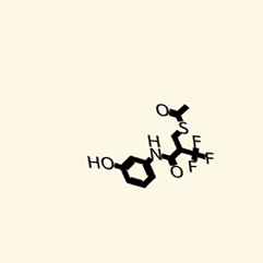 CC(=O)SCC(C(=O)Nc1cccc(O)c1)C(F)(F)F